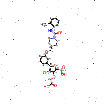 Cc1ccccc1NC(=O)N1CCC(COc2cccc(-c3sc(C(=O)O)c(OCC(=O)O)c3Cl)c2)CC1